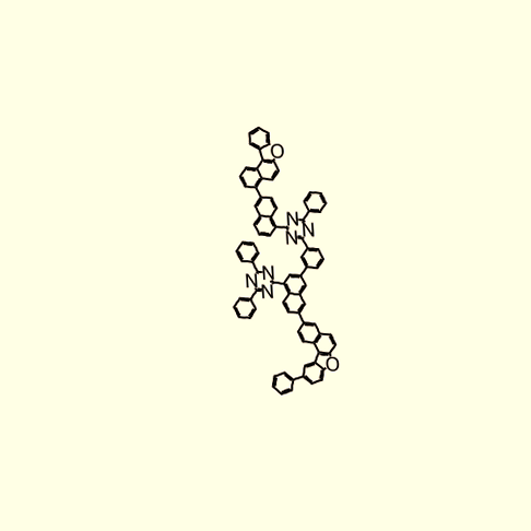 c1ccc(-c2ccc3oc4ccc5cc(-c6ccc7c(-c8nc(-c9ccccc9)nc(-c9ccccc9)n8)cc(-c8cccc(-c9nc(-c%10ccccc%10)nc(-c%10cccc%11cc(-c%12cccc%13c%12ccc%12oc%14ccccc%14c%12%13)ccc%10%11)n9)c8)cc7c6)ccc5c4c3c2)cc1